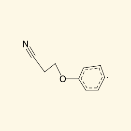 N#CCCOc1cc[c]cc1